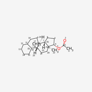 CC(=O)OC1CC[C@H]2[C@@H]3CCC4CCCC[C@]4(C)[C@H]3CC[C@]12C